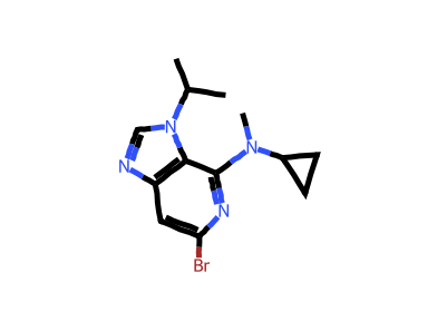 CC(C)n1cnc2cc(Br)nc(N(C)C3CC3)c21